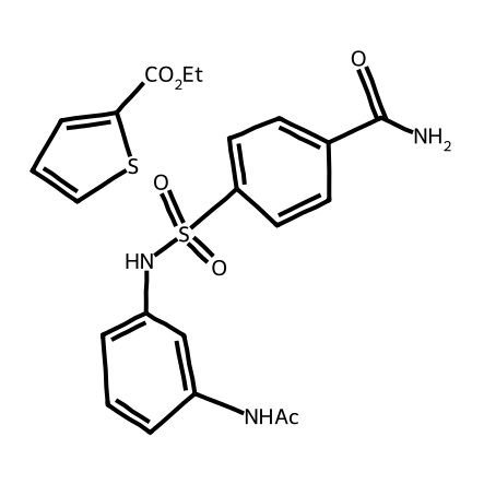 CC(=O)Nc1cccc(NS(=O)(=O)c2ccc(C(N)=O)cc2)c1.CCOC(=O)c1cccs1